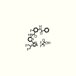 O=C(Nc1ccc(F)c(C(=O)Nc2cccc(-c3nncn3C(CF)CF)n2)c1)c1ccccc1.O=C(O)C(F)(F)F